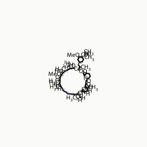 [2H]C([2H])([2H])O[C@H]1C[C@@H]2CC([2H])([2H])[C@@H](C)[C@@](O)(O2)C(=O)C(=O)N2CCCC[C@H]2C(=O)O[C@H]([C@H](C)C[C@@H]2CC[C@@H](OP(C)(C)=O)[C@H](OC)C2)CC(=O)[C@H](C([2H])([2H])[2H])/C=C(\C)[C@@H](O)[C@@H](OC)C(=O)[C@H](C)C([2H])(C)[C@]([2H])(C)/C=C/C=C/C=C/1C